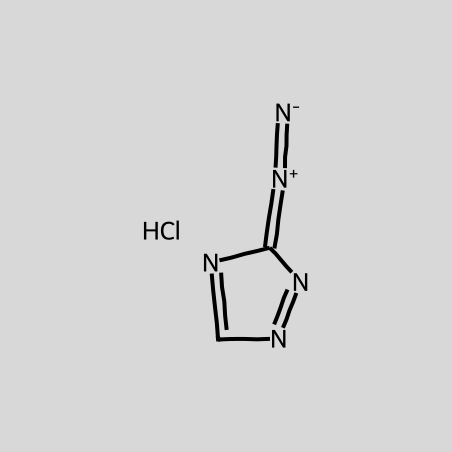 Cl.[N-]=[N+]=C1N=CN=N1